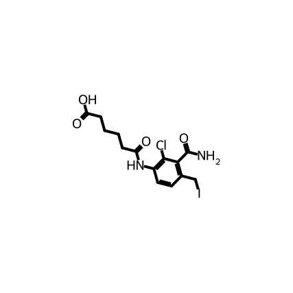 NC(=O)c1c(CI)ccc(NC(=O)CCCCC(=O)O)c1Cl